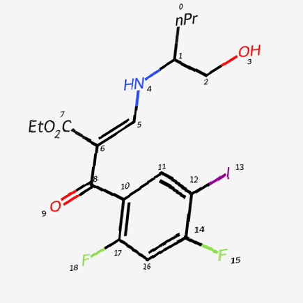 CCCC(CO)NC=C(C(=O)OCC)C(=O)c1cc(I)c(F)cc1F